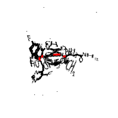 C=[N+](/C=N\N(C)CC(O)(c1ccc(F)cc1F)[C@@H](C)c1ncncc1F)C(C)OC(=O)N(C)c1ncccc1COC(=O)[C@@H](N)CCC(N)=O